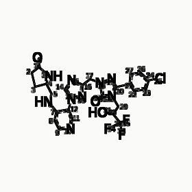 O=C1CCC(CNc2ccncc2-n2cnc(Cn3nc(-c4ccc(Cl)cc4)n(C[C@H](O)C(F)(F)F)c3=O)n2)N1